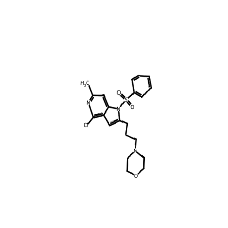 Cc1cc2c(cc(CCCN3CCOCC3)n2S(=O)(=O)c2ccccc2)c(Cl)n1